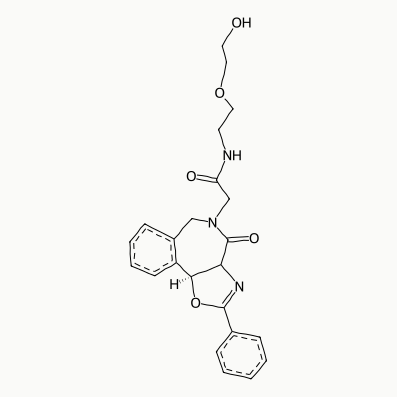 O=C(CN1Cc2ccccc2[C@@H]2OC(c3ccccc3)=NC2C1=O)NCCOCCO